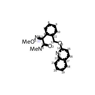 CNC(=O)/C(=N\OC)c1ccccc1COc1ccc2ccccc2n1